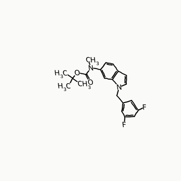 CN(C(=O)OC(C)(C)C)c1ccc2ccn(Cc3cc(F)cc(F)c3)c2c1